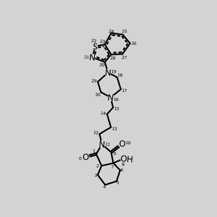 O=C1C2CCCCC2(O)C(=O)N1CCCCN1CCN(c2nsc3ccccc23)CC1